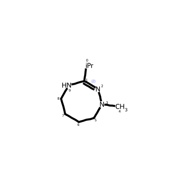 CC(C)/C1=N/N(C)CCCCN1